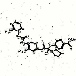 COC(=O)c1ccc(OC(Cl)(C(=O)Cc2ccc(NC(=O)Nc3ccccc3C)c(OC)c2)N2CCCC2)cc1